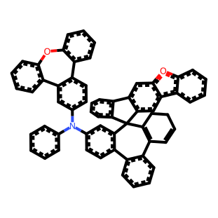 C1=CC2=C(CC1)C1(c3cc(N(c4ccccc4)c4ccc5c(c4)-c4ccccc4Oc4ccccc4-5)ccc3-c3ccccc32)c2ccccc2-c2cc3oc4ccccc4c3cc21